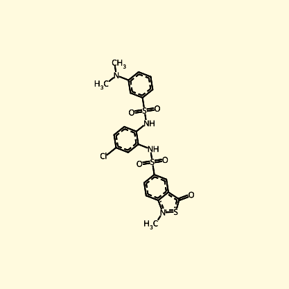 CN(C)c1cccc(S(=O)(=O)Nc2ccc(Cl)cc2NS(=O)(=O)c2ccc3c(c2)c(=O)sn3C)c1